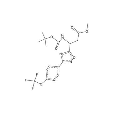 COC(=O)CC(NC(=O)OC(C)(C)C)c1nc(-c2ccc(OC(F)(F)F)cc2)no1